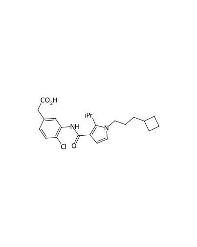 CC(C)c1c(C(=O)Nc2cc(CC(=O)O)ccc2Cl)ccn1CCCC1CCC1